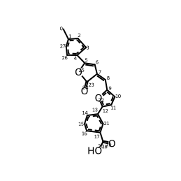 Cc1ccc(C2=CC(=Cc3ccc(-c4cccc(C(=O)O)c4)o3)C(=O)O2)cc1